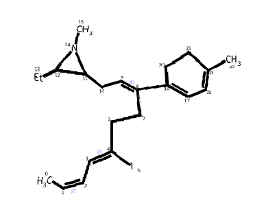 C/C=C\C=C(/I)CC/C(=C\CC1C(CC)N1C)C1=CC=C(C)CC1